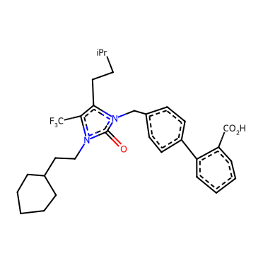 CC(C)CCc1c(C(F)(F)F)n(CCC2CCCCC2)c(=O)n1Cc1ccc(-c2ccccc2C(=O)O)cc1